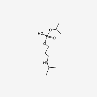 CC(C)NCCCOP(=O)(O)OC(C)C